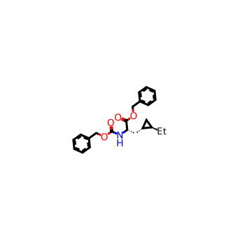 CC[C@@H]1C[C@H]1C[C@H](NC(=O)OCc1ccccc1)C(=O)OCc1ccccc1